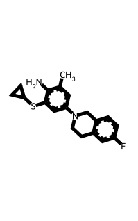 Cc1cc(N2CCc3cc(F)ccc3C2)cc(SC2CC2)c1N